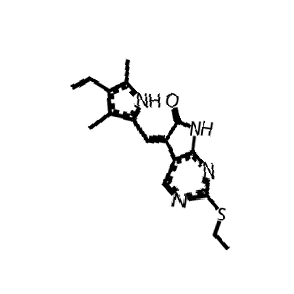 CCSc1ncc2c(n1)NC(=O)C2=Cc1[nH]c(C)c(CC)c1C